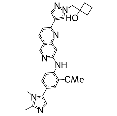 COc1cc(-c2cnc(C)n2C)ccc1Nc1cc2nc(-c3cnn(CC4(O)CCC4)c3)ccc2cn1